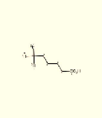 [2H]C([2H])([2H])CCCCC(=O)O